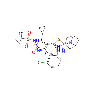 CC1(S(=O)(=O)NC(=O)c2ccc3nc(N4C5CC(NCc6c(-c7c(Cl)cccc7Cl)noc6C6CC6)CC4C5)sc3c2)CC1